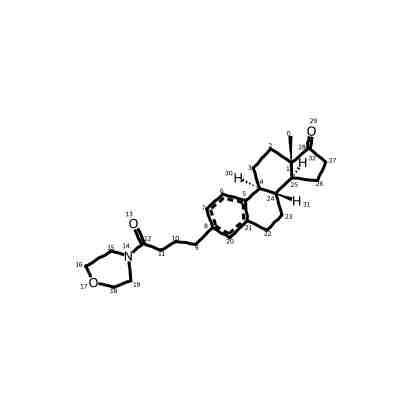 C[C@]12CC[C@@H]3c4ccc(CCCC(=O)N5CCOCC5)cc4CC[C@H]3[C@@H]1CCC2=O